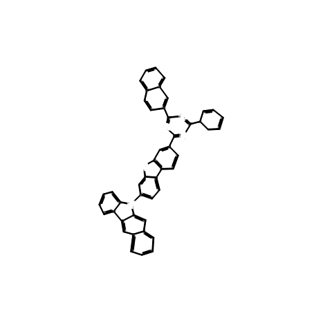 C1=CCC(c2nc(-c3ccc4ccccc4c3)nc(-c3ccc4c(c3)oc3cc(-n5c6ccccc6c6cc7ccccc7cc65)ccc34)n2)C=C1